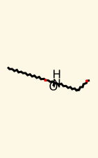 CCCCCC/C=C\CCCCCCCCNC(=O)CCCCCCCCCCCCCCCCCCCCC